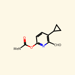 CNC(=O)Oc1ccc(C2CC2)c(C=O)n1